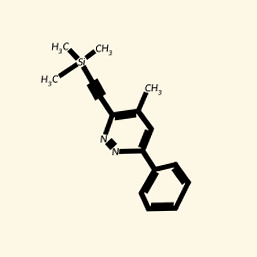 Cc1cc(-c2ccccc2)nnc1C#C[Si](C)(C)C